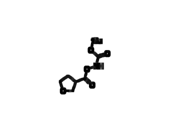 CC(C)(C)OC(=O)NOC(=O)C1CCOC1